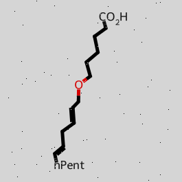 CCCCC/C=C/C/C=C/COCCCCCC(=O)O